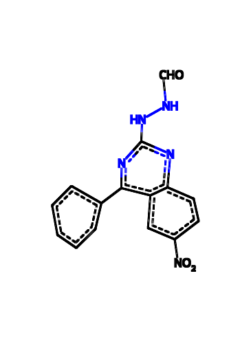 O=CNNc1nc(-c2ccccc2)c2cc([N+](=O)[O-])ccc2n1